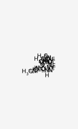 CCOc1cc(Nc2ncc(F)c(-c3cc(F)c4nc(C)n(C(C)C)c4c3)n2)ccc1CN1CCN(CC)CC1